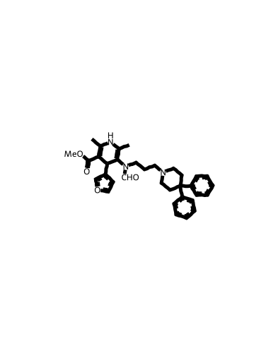 COC(=O)C1=C(C)NC(C)=C(N(C=O)CCCN2CCC(c3ccccc3)(c3ccccc3)CC2)C1c1ccoc1